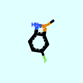 Cp1[nH]c2ccc(F)cc21